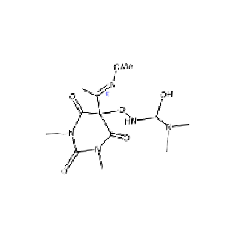 CO/N=C(\C)C1(ONC(O)N(C)C)C(=O)N(C)C(=O)N(C)C1=O